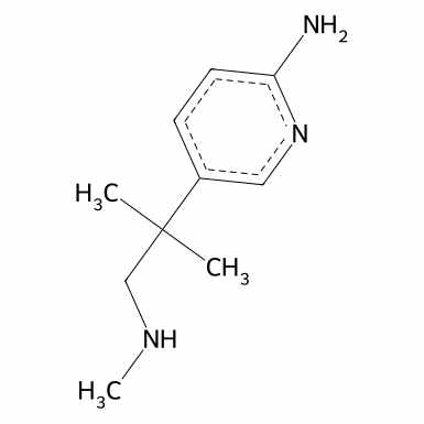 CNCC(C)(C)c1ccc(N)nc1